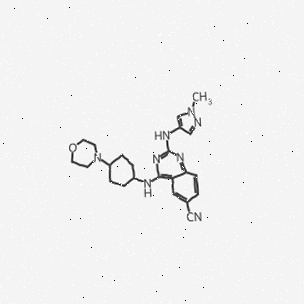 Cn1cc(Nc2nc(NC3CCC(N4CCOCC4)CC3)c3cc(C#N)ccc3n2)cn1